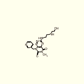 Cn1c(=O)c2nc(NCCNCCO)nnc2n(Cc2cccnc2)c1=O